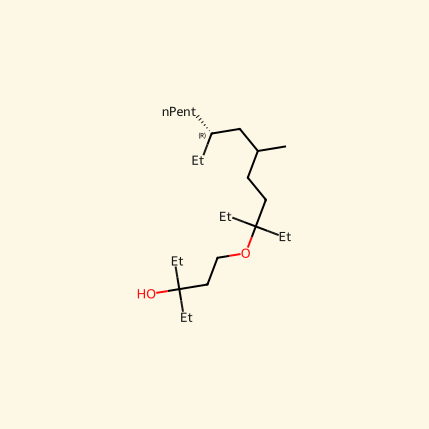 CCCCC[C@@H](CC)CC(C)CCC(CC)(CC)OCCC(O)(CC)CC